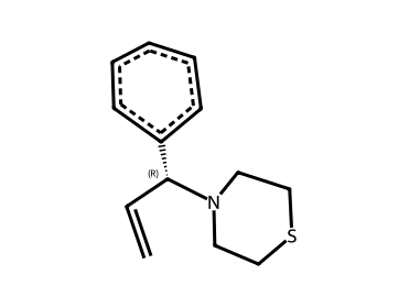 C=C[C@H](c1ccccc1)N1CCSCC1